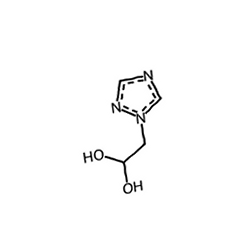 OC(O)Cn1cncn1